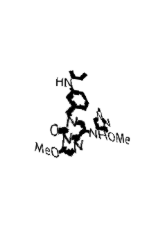 C=CC(=C)Nc1cccc(Cn2cc(Nc3cn(C)nc3OC)c3ncc(OC)n3c2=O)c1